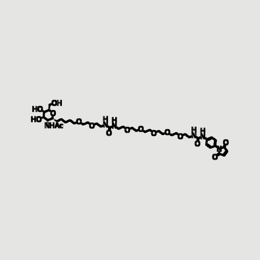 CC(=O)N[C@@H]1[C@@H](O)[C@@H](O)[C@@H](CO)O[C@@H]1CCCCCOCCOCCNC(=O)NCCOCCOCCOCCOCCOCCNC(=O)Nc1ccc(N2C(=O)C=CC2=O)cc1